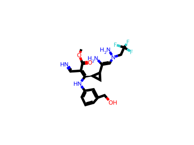 COC(=O)/C(C=N)=C(/Nc1cccc(CO)c1)[C@@H]1CC1/C(N)=C/N(N)CC(F)(F)F